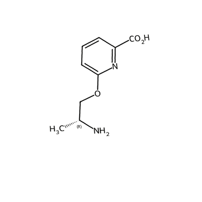 C[C@@H](N)COc1cccc(C(=O)O)n1